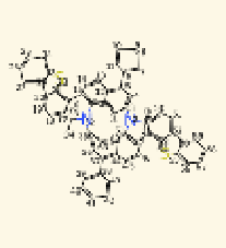 CCn1c2cc(-c3ccccc3)c3ccc(-c4cccc5c4sc4ccccc45)c(c3c2)n(CC)c2cc(-c3ccccc3)c3ccc(-c4cccc5c4sc4ccccc45)c1c3c2